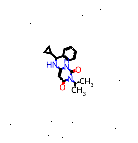 CC(C)n1c(=O)cc(NC(c2ccccc2)C2CC2)[nH]c1=O